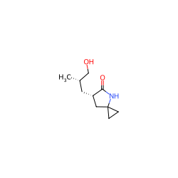 C[C@H](CO)C[C@H]1CC2(CC2)NC1=O